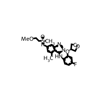 COCCS(C)(=O)=Nc1cc(C)c2c(Nc3ccc(F)cc3O[C@H]3CCOC3)ncnc2c1